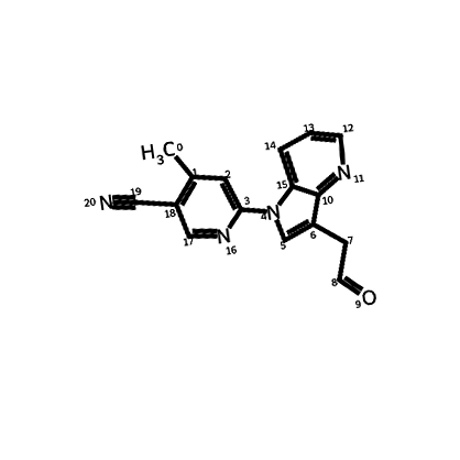 Cc1cc(-n2cc(CC=O)c3ncccc32)ncc1C#N